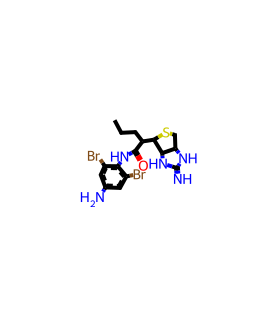 CCCC(C(=O)Nc1c(Br)cc(N)cc1Br)C1SCC2NC(=N)NC21